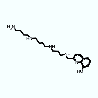 NCCCCNCCCCNCCCNCc1ccc2cccc(O)c2n1